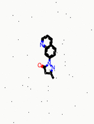 CC1=NN(c2ccc3cccnc3c2)C(=O)C1